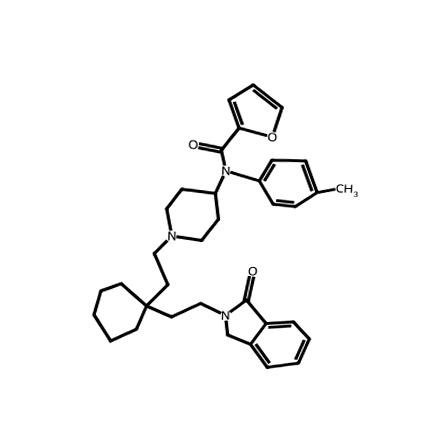 Cc1ccc(N(C(=O)c2ccco2)C2CCN(CCC3(CCN4Cc5ccccc5C4=O)CCCCC3)CC2)cc1